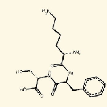 NCCCC[C@H](N)C(=O)N[C@@H](Cc1ccccc1)C(=O)N[C@@H](CO)C(=O)O